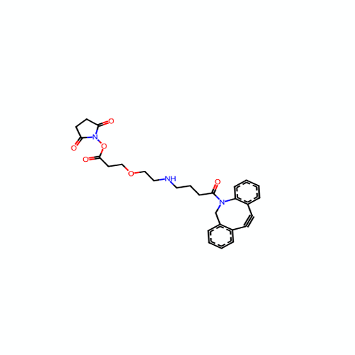 O=C(CCOCCNCCCC(=O)N1Cc2ccccc2C#Cc2ccccc21)ON1C(=O)CCC1=O